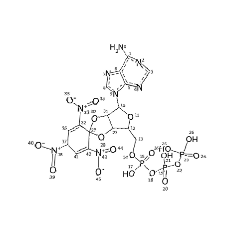 Nc1ncnc2c1ncn2C1OC(COP(=O)(O)OP(=O)(O)OP(=O)(O)O)C2OC3(OC21)C([N+](=O)[O-])=CC([N+](=O)[O-])C=C3[N+](=O)[O-]